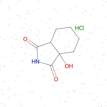 Cl.O=C1NC(=O)C2(O)CCCCC12